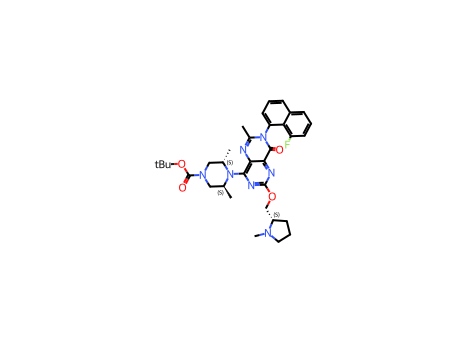 Cc1nc2c(N3[C@@H](C)CN(C(=O)OC(C)(C)C)C[C@@H]3C)nc(OC[C@@H]3CCCN3C)nc2c(=O)n1-c1cccc2cccc(F)c12